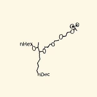 CCCCCCCCCCCCCCCC(OCCCOCCOCCOS(C)(=O)=O)C(C)OCCCCCC